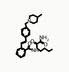 CCCCC(NC(=O)c1ccccc1C=Cc1ccc(CN2CCC(C)CC2)cc1)C(=O)C(N)=O